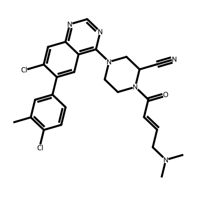 Cc1cc(-c2cc3c(N4CCN(C(=O)/C=C/CN(C)C)C(C#N)C4)ncnc3cc2Cl)ccc1Cl